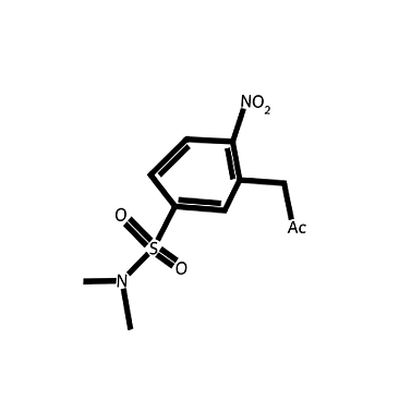 CC(=O)Cc1cc(S(=O)(=O)N(C)C)ccc1[N+](=O)[O-]